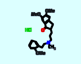 COc1ccccc1CCN(C)CCCC1Cc2cc(OC)c(OC)cc2C1=O.Cl